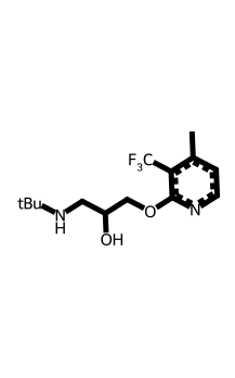 Cc1ccnc(OCC(O)CNC(C)(C)C)c1C(F)(F)F